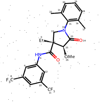 CC[C@@]1(C(=O)Nc2cc(C(F)(F)F)cc(C(F)(F)F)c2)CN(c2c(C)cccc2C)C(=O)[C@H]1OC